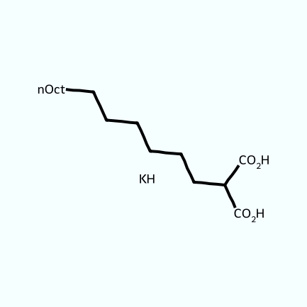 CCCCCCCCCCCCCCC(C(=O)O)C(=O)O.[KH]